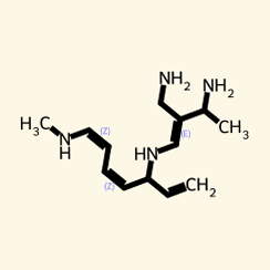 C=CC(/C=C\C=C/NC)N/C=C(\CN)C(C)N